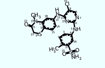 Cc1ccc(Nc2ncc(Cl)c(Nc3ccc4c(c3)N(C)C(=O)CS4)n2)cc1S(N)(=O)=O